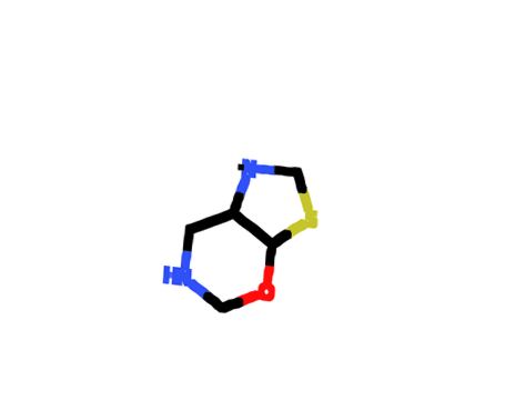 C1NCC2[N]CSC2O1